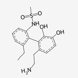 CCc1cccc(NS(C)(=O)=O)c1-c1c(CCN)ccc(O)c1O